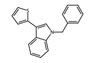 c1ccc(Cn2cc(-c3cccs3)c3ccccc32)cc1